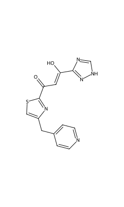 O=C(C=C(O)c1nc[nH]n1)c1nc(Cc2ccncc2)cs1